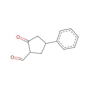 O=CC1CC(c2ccccc2)CC1=O